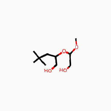 COC(CO)OC(CO)CC(C)(C)C